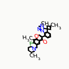 Cc1c(F)c(CN2CCC[C@H](C)C2)cc2c(=O)c(-c3cccc(C4(c5nncn5C)CC(C)C4)c3)coc12